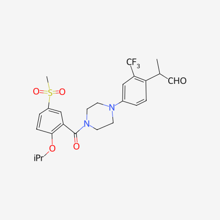 CC(C)Oc1ccc(S(C)(=O)=O)cc1C(=O)N1CCN(c2ccc(C(C)C=O)c(C(F)(F)F)c2)CC1